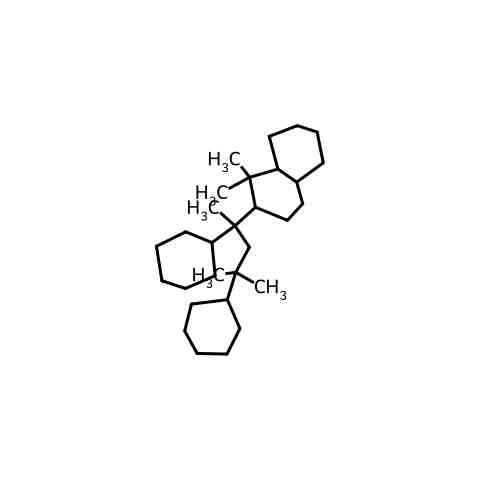 CC(C)(CC(C)(C1CCCCC1)C1CCC2CCCCC2C1(C)C)C1CCCCC1